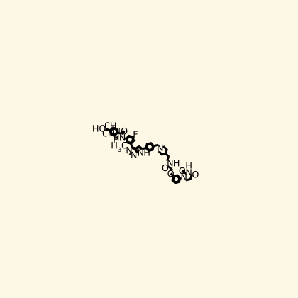 Cc1c(NC(=O)c2ccc(C(C)(C)O)cc2F)cc(F)cc1-c1ncnc2[nH]c(-c3ccc(CN4CCC(CCNC(=O)COc5cccc(N6CCC(=O)NC6=O)c5)CC4)cc3)cc12